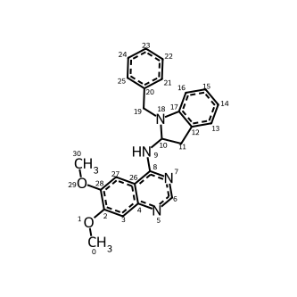 COc1cc2ncnc(NC3Cc4ccccc4N3Cc3ccccc3)c2cc1OC